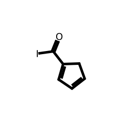 O=C(I)C1=CC=CC1